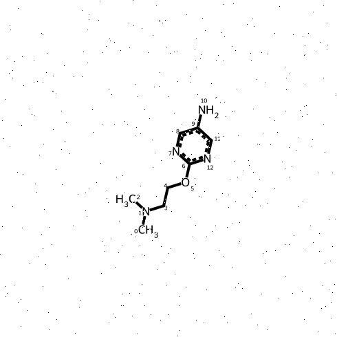 CN(C)CCOc1ncc(N)cn1